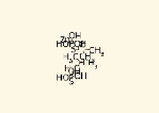 CC(C)C.CC(C)C.OP(O)(O)=S.OP(O)(O)=S.[Zn]